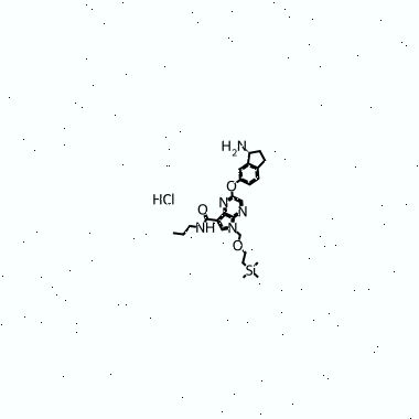 CCCNC(=O)c1cn(COCC[Si](C)(C)C)c2ncc(Oc3ccc4c(c3)[C@H](N)CC4)nc12.Cl